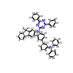 CC1(C)c2ccccc2-c2cc3c4cc(-c5cccc(N(c6ccccc6)c6ccccc6)c5)ccc4n(-c4nc(-c5ccccc5)nc(-c5ccccc5)n4)c3cc21